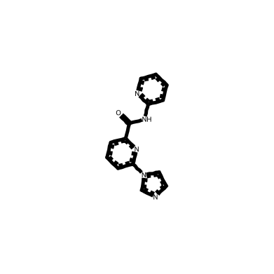 O=C(Nc1ccccn1)c1cccc(-n2ccnc2)n1